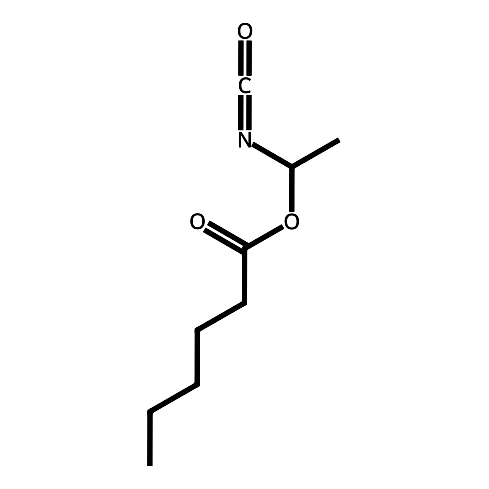 CCCCCC(=O)OC(C)N=C=O